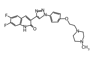 CN1CCN(CCOc2ccc(-n3cc(-c4cc5cc(F)c(F)cc5[nH]c4=O)nn3)cc2)CC1